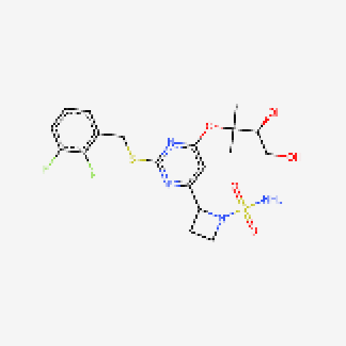 CC(C)(Oc1cc(C2CCN2S(N)(=O)=O)nc(SCc2cccc(F)c2F)n1)[C@@H](O)CO